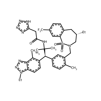 CC[C@H]1Cc2ccc(C(F)(F)F)cc2S(=O)(=O)N(Cc2cc([C@@H](c3ccc4c(nnn4CC)c3C)C(C)(C)NC(=O)Cc3nnn[nH]3)ccc2C)C1